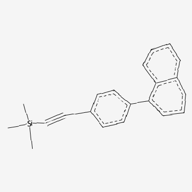 C[Si](C)(C)C#Cc1ccc(-c2cccc3ccccc23)cc1